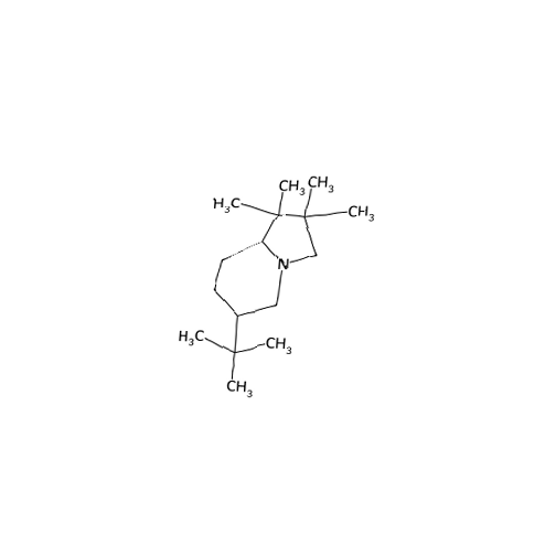 CC(C)(C)C1CCC2N(C1)CC(C)(C)C2(C)C